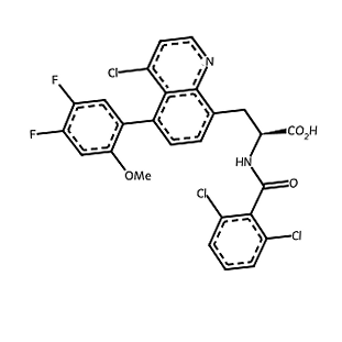 COc1cc(F)c(F)cc1-c1ccc(C[C@H](NC(=O)c2c(Cl)cccc2Cl)C(=O)O)c2nccc(Cl)c12